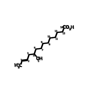 CC=CCC(O)CCCCCCCCC(=O)O